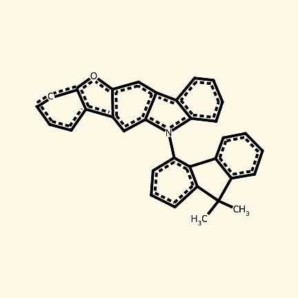 CC1(C)c2ccccc2-c2c(-n3c4ccccc4c4cc5oc6ccccc6c5cc43)cccc21